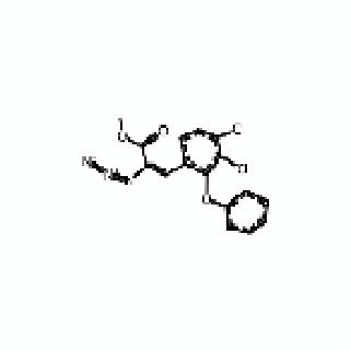 COC(=O)/C(=C\c1ccc(Cl)c(Cl)c1Oc1ccccc1)N=[N+]=[N-]